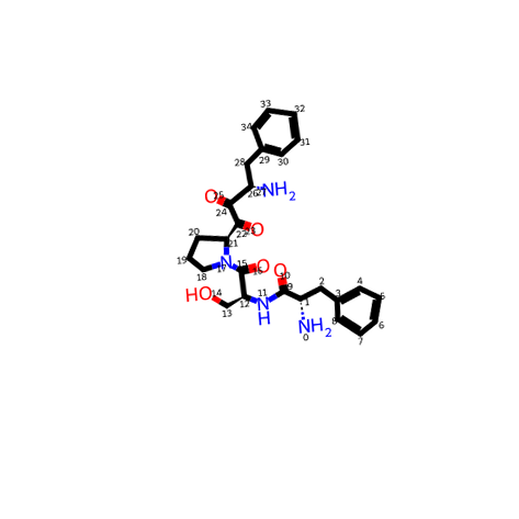 N[C@@H](Cc1ccccc1)C(=O)N[C@@H](CO)C(=O)N1CCC[C@H]1C(=O)C(=O)[C@@H](N)Cc1ccccc1